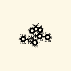 CC1(C)c2ccccc2-c2c(N(c3ccc(-c4ccccc4)cc3)c3nc(-c4ccccc4)nc4ccccc34)cccc21